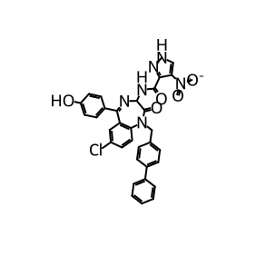 O=C(NC1N=C(c2ccc(O)cc2)c2cc(Cl)ccc2N(Cc2ccc(-c3ccccc3)cc2)C1=O)c1n[nH]cc1[N+](=O)[O-]